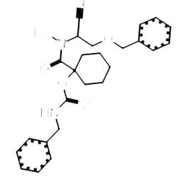 CN(C(=O)C1(OC(=O)NCc2ccccc2)CCCCC1)C(C#N)COCc1ccccc1